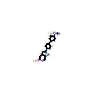 CCNc1ccc(-c2ccc(-c3cc4cc(O)ncc4[nH]3)cc2)cc1F